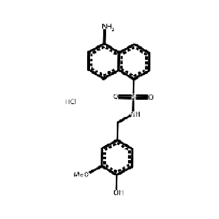 COc1cc(CNS(=O)(=O)c2cccc3c(N)cccc23)ccc1O.Cl